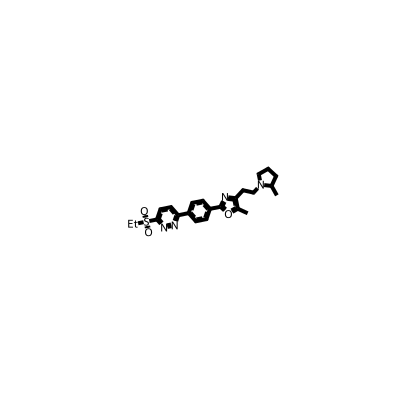 CCS(=O)(=O)c1ccc(-c2ccc(-c3nc(CCN4CCCC4C)c(C)o3)cc2)nn1